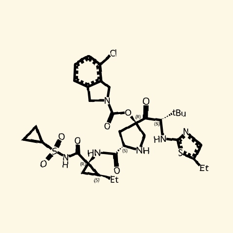 CCc1cnc(N[C@H](C(=O)[C@]2(OC(=O)N3Cc4cccc(Cl)c4C3)CN[C@H](C(=O)N[C@]3(C(=O)NS(=O)(=O)C4CC4)C[C@@H]3CC)C2)C(C)(C)C)s1